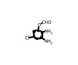 Nc1cc(Cl)cc(OC=O)c1N